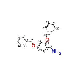 NCc1c[c]c(OCc2ccccc2)cc1OCc1ccccc1